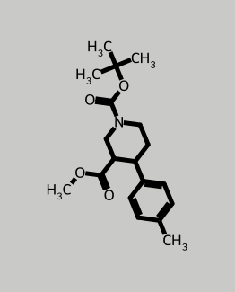 COC(=O)C1CN(C(=O)OC(C)(C)C)CCC1c1ccc(C)cc1